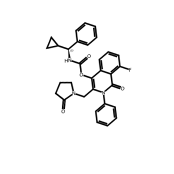 O=C(N[C@H](c1ccccc1)C1CC1)Oc1c(CN2CCCC2=O)n(-c2ccccc2)c(=O)c2c(F)cccc12